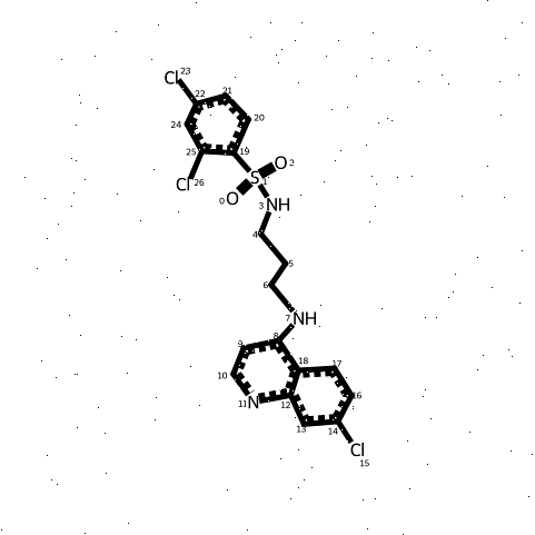 O=S(=O)(NCCCNc1ccnc2cc(Cl)ccc12)c1ccc(Cl)cc1Cl